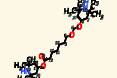 CC1(C)CC(OCOCCCCCCC(=O)OC2CC(C)(C)NC(C)(C)C2)CC(C)(C)N1